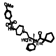 CCC1(C(=O)N[C@@](C)(c2ccccc2)[C@H](O)CN2CCC(NS(=O)(=O)c3ccc(OC)cc3)CC2)CCCC1